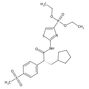 CCOP(=O)(OCC)c1csc(NC(=O)[C@H](CC2CCCC2)c2ccc(S(C)(=O)=O)cc2)n1